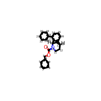 O=C(OCc1ccccc1)N1CC[C@@H]2C[C@@H]1c1c(-c3ccccc3)cccc12